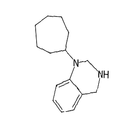 c1ccc2c(c1)CNCN2C1CCCCCC1